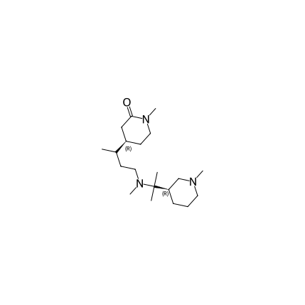 CC(CCN(C)C(C)(C)[C@@H]1CCCN(C)C1)[C@@H]1CCN(C)C(=O)C1